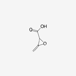 C=C1OC1C(=O)O